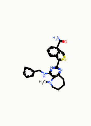 CN1CCCCc2nc(-c3scc4c(C(N)=O)cccc34)nc(NCc3ccccc3)c21